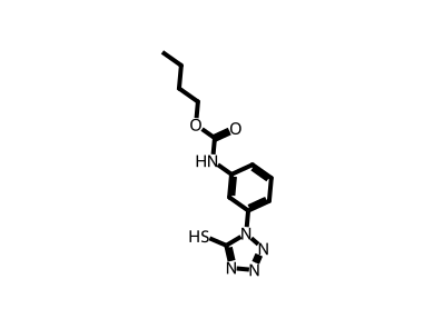 CCCCOC(=O)Nc1cccc(-n2nnnc2S)c1